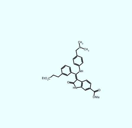 CCOC(=O)CCc1cccc(C(Nc2ccc(CN(C)C)cc2)=C2C(=O)Nc3cc(C(=O)OC)ccc32)c1